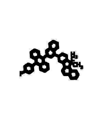 CC1(C)C2=C(CC(c3cc(-c4c5ccccc5c(-c5ccc(F)cc5)c5ccccc45)cc4ccccc34)C=C2)c2ccc3ccccc3c21